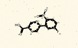 O=C(O)c1cnc(-c2cc(F)ccc2[N+](=O)[O-])cn1